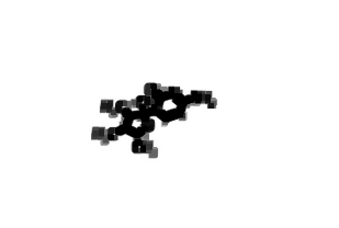 CC1C(C)[C@](C)(n2ccc(N)nc2=O)O[C@@H]1C